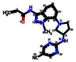 C=CC(=O)Nc1nn(C)c2c(N3CC[C@@H](Nc4ncc(C#N)cn4)C3)cccc12